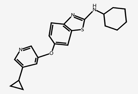 c1cc2nc(NC3CCCCC3)sc2cc1Oc1cncc(C2CC2)c1